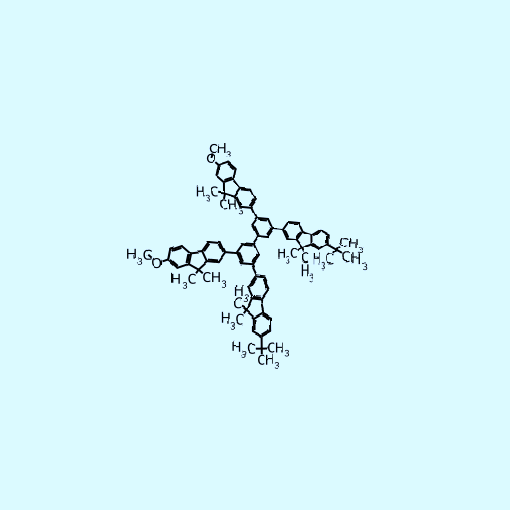 COc1ccc2c(c1)C(C)(C)c1cc(-c3cc(-c4cc(-c5ccc6c(c5)C(C)(C)c5cc(OC)ccc5-6)cc(-c5ccc6c(c5)C(C)(C)c5cc(C(C)(C)C)ccc5-6)c4)cc(-c4ccc5c(c4)C(C)(C)c4cc(C(C)(C)C)ccc4-5)c3)ccc1-2